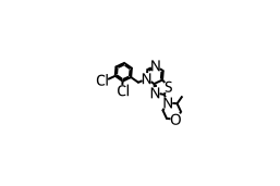 CC1COCCN1C1N=C2C(=CN=CN2Cc2cccc(Cl)c2Cl)S1